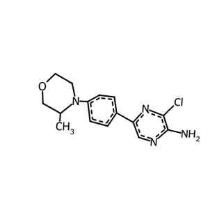 CC1COCCN1c1ccc(-c2cnc(N)c(Cl)n2)cc1